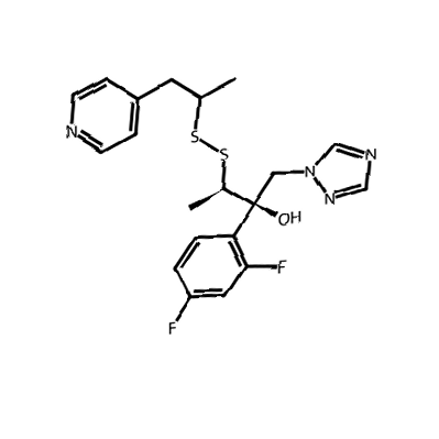 CC(Cc1ccncc1)SS[C@H](C)[C@](O)(Cn1cncn1)c1ccc(F)cc1F